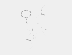 CCC(=O)[NH][Ti]1[Ti][Ti]([CH3])([CH3])[Ti][Ti]([Cl])([Cl])([NH]C(=O)CC)[Ti]1[CH2]c1ccccc1